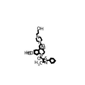 Cc1nc(-c2ccccc2)sc1C(=O)N1CCC(F)(F)C(=CC(=O)N2CCN(CCCO)CC2)c2ccccc21.Cl.Cl